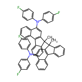 CC1(C2(C)c3ccccc3-c3c2cc(N(c2ccc(F)cc2)c2ccc(F)cc2)c2ccccc32)c2ccccc2-c2c1cc(N(c1ccc(F)cc1)c1ccc(F)cc1)c1ccccc21